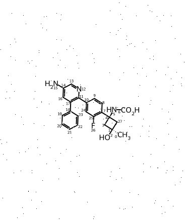 C[C@]1(O)C[C@](NC(=O)O)(c2ccc(-c3ncc(N)cc3-c3ccccc3)cc2F)C1